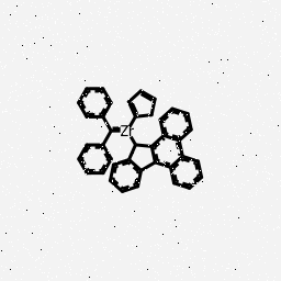 C1=CC[C]([Zr](=[C](c2ccccc2)c2ccccc2)[CH]2c3ccccc3-c3c2c2ccccc2c2ccccc32)=C1